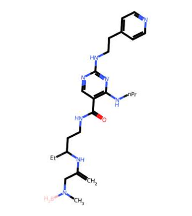 BN(C)CC(=C)NC(CC)CCNC(=O)c1cnc(NCCc2ccncc2)nc1NCCC